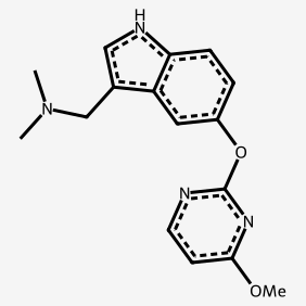 COc1ccnc(Oc2ccc3[nH]cc(CN(C)C)c3c2)n1